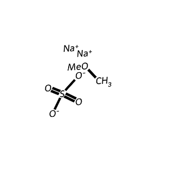 COC.O=S(=O)([O-])[O-].[Na+].[Na+]